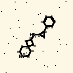 c1ccc(C2CC2NC2CC3(CCNCC3)C2)cc1